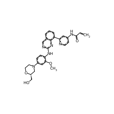 C=CC(=O)Nc1ccnc(-c2cccc3cnc(Nc4ccc(N5CCO[C@H](CO)C5)cc4OC)nc23)c1